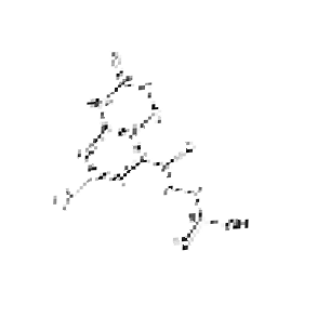 Cc1cc2c(c(C(=O)CCC(=O)O)c1)OCC(=O)N2